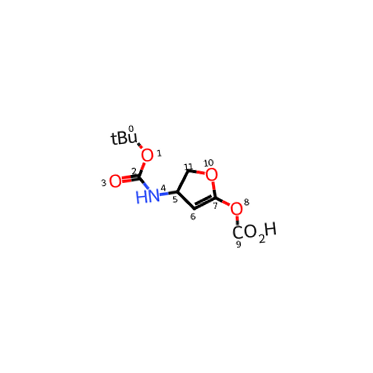 CC(C)(C)OC(=O)NC1C=C(OC(=O)O)OC1